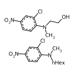 CCCCCCN(C)c1ccc([N+](=O)[O-])cc1Cl.CN(CCO)c1ccc([N+](=O)[O-])cc1Cl